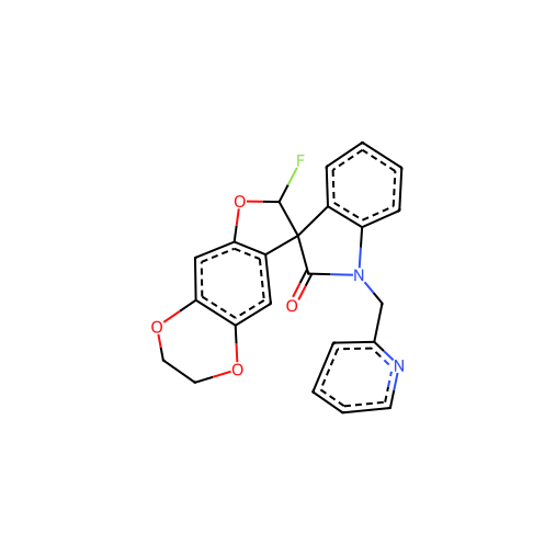 O=C1N(Cc2ccccn2)c2ccccc2C12c1cc3c(cc1OC2F)OCCO3